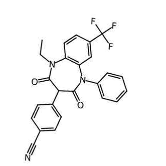 CCN1C(=O)C(c2ccc(C#N)cc2)C(=O)N(c2ccccc2)c2cc(C(F)(F)F)ccc21